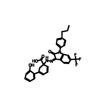 CCCc1ccc(N2C(=O)/C(=N\NC3(C(=O)O)C=CC=C(c4ccccc4O)C3)c3ccc(C(F)(F)F)cc32)cc1